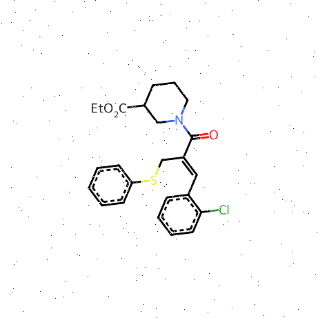 CCOC(=O)C1CCCN(C(=O)/C(=C/c2ccccc2Cl)CSc2ccccc2)C1